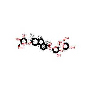 C=C1C[C@@]2(C)CC[C@H]3[C@@](C)(CCC[C@@]3(C)C(=O)O[C@H]3C[C@@H](O)[C@H](O[C@H]4C[C@@H](O)C[C@@H](CO)O4)[C@@H](CO)O3)[C@@H]2CC[C@@]1(C)O[C@H]1C[C@@H](O)[C@H](O)[C@@H](CO)O1